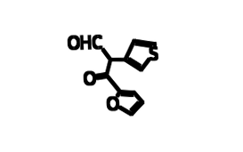 O=CC(C(=O)c1ccco1)c1ccsc1